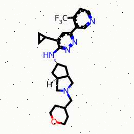 FC(F)(F)c1ccncc1-c1cc(C2CC2)c(N[C@@H]2CC3CN(CC4CCOCC4)C[C@H]3C2)nn1